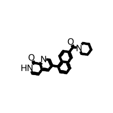 O=C(c1ccc2c(-c3cnc4c(=O)[nH]ccc4c3)cccc2c1)N1CCCCC1